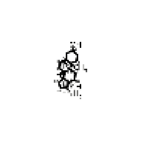 C[C@]12CCC(O)CC1=CC[C@H]1[C@@H]3CCC(N)[C@@]3(C)CC[C@]12F